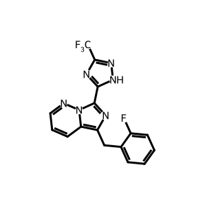 Fc1ccccc1Cc1nc(-c2nc(C(F)(F)F)n[nH]2)n2ncccc12